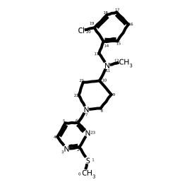 CSc1nccc(N2CCC(N(C)Cc3ccccc3Cl)CC2)n1